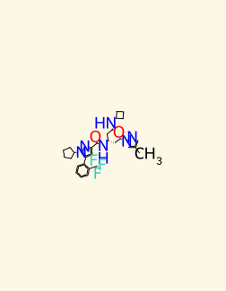 Cc1cnn(CC[C@@H](CC(=O)NC2CCC2)NC(=O)c2cc(-c3ccccc3C(F)(F)F)n(C3CCCC3)n2)c1